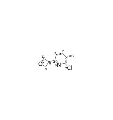 C=C/C=C\C(=N/CCl)C1COC1